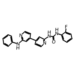 O=C(Nc1cc(-c2ccnc(Nc3ccccc3)c2)ccn1)Nc1ccccc1F